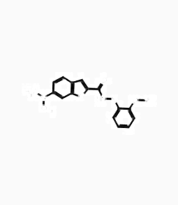 CC(C)Oc1ccccc1SNC(=O)c1cc2ccc(N(C)C)cc2o1